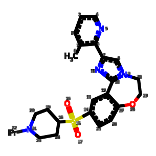 Cc1cccnc1-c1cn2c(n1)-c1cc(S(=O)(=O)C3CCN(C(C)C)CC3)ccc1OCC2